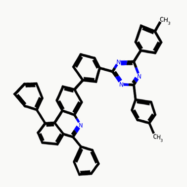 Cc1ccc(-c2nc(-c3ccc(C)cc3)nc(-c3cccc(-c4ccc5c(c4)nc(-c4ccccc4)c4cccc(-c6ccccc6)c45)c3)n2)cc1